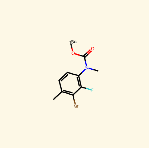 Cc1ccc(N(C)C(=O)OC(C)(C)C)c(F)c1Br